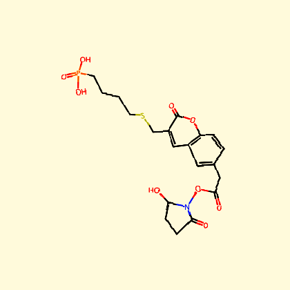 O=C(Cc1ccc2oc(=O)c(CSCCCCP(=O)(O)O)cc2c1)ON1C(=O)CCC1O